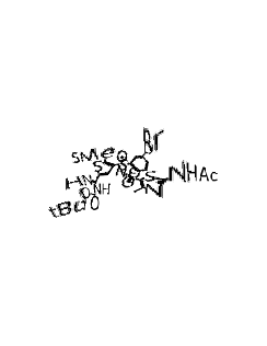 CSc1sc(C(=N)NC(=O)OC(C)(C)C)cc1S(=O)(=NS(=O)(=O)c1sc(NC(C)=O)nc1C)c1cccc(Br)c1